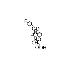 CCN(C(=O)CCC(=O)O)C1c2ccccc2N(C(=O)OCc2ccc(F)cc2)C2CCC12